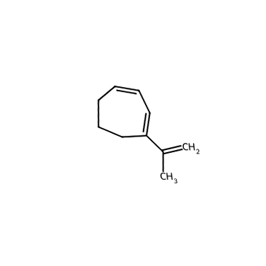 C=C(C)C1=CC=CCCC1